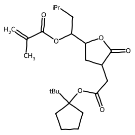 C=C(C)C(=O)OC(CC(C)C)C1CC(CC(=O)OC2(C(C)(C)C)CCCC2)C(=O)O1